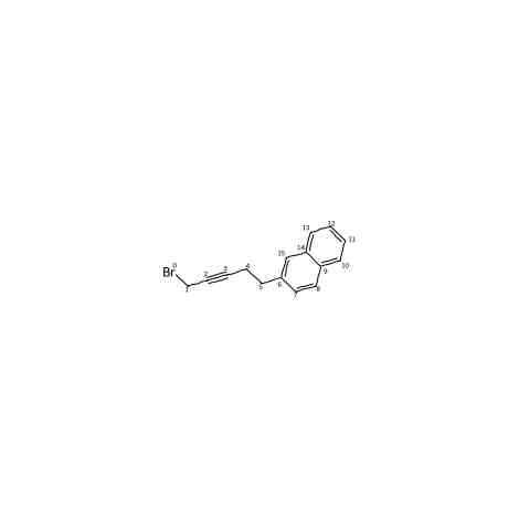 BrCC#CCCc1ccc2ccccc2c1